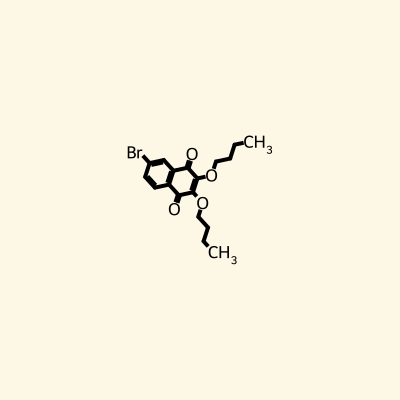 CCCCOC1=C(OCCCC)C(=O)c2cc(Br)ccc2C1=O